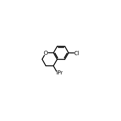 CC(C)C1CCOc2ccc(Cl)cc21